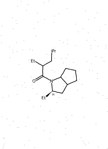 CCC(CC(C)C)C(=O)N1C2CCCC2C[C@H]1CC